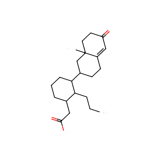 CCCC1C(CC(=O)O)CCCC1C1CCC2=CC(=O)CCC2(C)C1